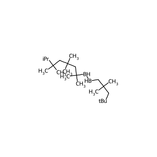 CC(C)C(C)(C)CC(C)(C)CC(C)(C)BBCC(C)(C)CC(C)(C)C